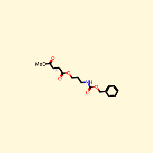 COC(=O)/C=C/C(=O)OCCCNC(=O)OCc1ccccc1